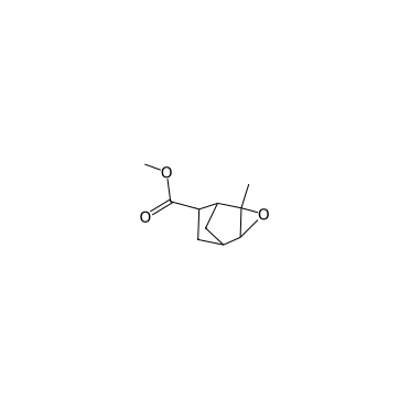 COC(=O)C1CC2CC1C1(C)OC21